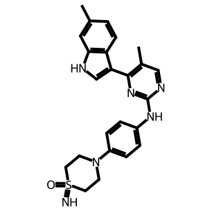 Cc1ccc2c(-c3nc(Nc4ccc(N5CCS(=N)(=O)CC5)cc4)ncc3C)c[nH]c2c1